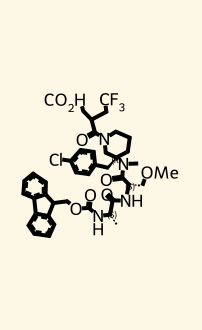 COC[C@H](NC(=O)[C@H](C)NC(=O)OCC1c2ccccc2-c2ccccc21)C(=O)N(C)[C@@]1(Cc2ccc(Cl)cc2)CCCN(C(=O)C(CC(=O)O)CC(F)(F)F)C1